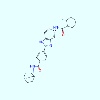 CC1CCCCC1C(=O)Nc1ccc2[nH]c(-c3ccc(C(=O)NC4CC5CCC4CC5)cc3)nc2c1